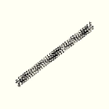 S=[SH](=S)S(=S)(=S)S(=S)(=S)S(=S)(=S)S(=S)(=S)S(=S)(=S)S(=S)(=S)S(=S)(=S)S(=S)(=S)S(=S)(=S)S(=S)(=S)S(=S)(=S)S(=S)(=S)S(=S)(=S)S(=S)(=S)S(=S)(=S)S(=S)(=S)S(=S)(=S)S(=S)(=S)S(=S)(=S)S(=S)(=S)S(=S)(=S)S(=S)(=S)S(=S)(=S)S(=S)(=S)S(=S)(=S)S(=S)(=S)S(=S)(=S)S(=S)(=S)S(=S)(=S)S(=S)(=S)S(=S)(=S)S(=S)(=S)S(=S)(=S)S(=S)(=S)S(=S)(=S)S(=S)(=S)[SH](=S)=S